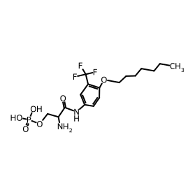 CCCCCCCOc1ccc(NC(=O)C(N)COP(=O)(O)O)cc1C(F)(F)F